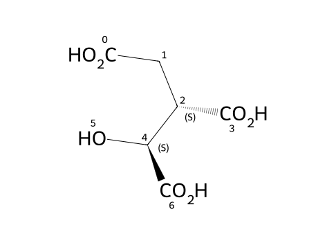 O=C(O)C[C@H](C(=O)O)[C@H](O)C(=O)O